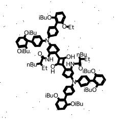 CCCCC(CC)C(=O)Nc1cc(N(c2ccc(-c3c(OCC)cccc3OCC(C)C)cc2)c2ccc(-c3c(OCC(C)C)cccc3OCC(C)C)cc2)ccc1C1C(O)C(c2ccc(N(c3ccc(-c4c(OCC(C)C)cccc4OCC(C)C)cc3)c3ccc(-c4c(OCC(C)C)cccc4OCC(C)C)cc3)cc2NC(=O)C(CC)CCCC)C1O